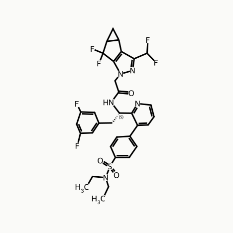 CCN(CC)S(=O)(=O)c1ccc(-c2cccnc2[C@H](Cc2cc(F)cc(F)c2)NC(=O)Cn2nc(C(F)F)c3c2C(F)(F)C2CC32)cc1